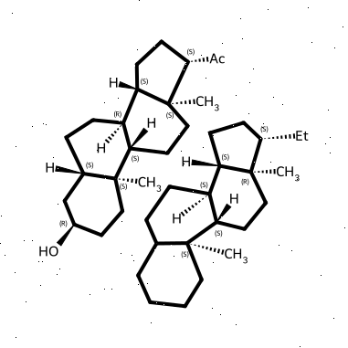 CC(=O)[C@H]1CC[C@H]2[C@@H]3CC[C@H]4C[C@H](O)CC[C@]4(C)[C@H]3CC[C@]12C.CC[C@H]1CC[C@H]2[C@@H]3CCC4CCCC[C@]4(C)[C@H]3CC[C@]12C